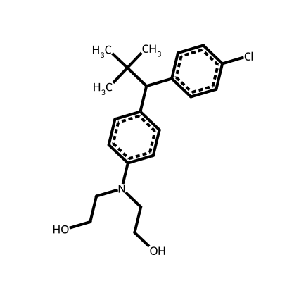 CC(C)(C)C(c1ccc(Cl)cc1)c1ccc(N(CCO)CCO)cc1